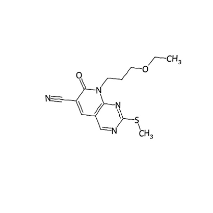 CCOCCCn1c(=O)c(C#N)cc2cnc(SC)nc21